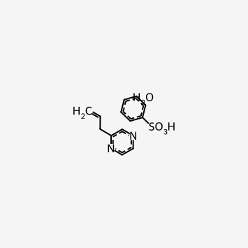 C=CCc1cnccn1.O.O=S(=O)(O)c1ccccc1